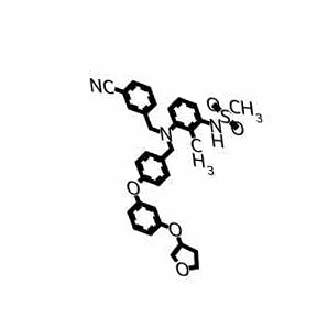 Cc1c(NS(C)(=O)=O)cccc1N(Cc1ccc(Oc2cccc(OC3CCOC3)c2)cc1)Cc1cccc(C#N)c1